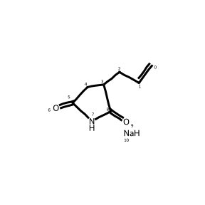 C=CCC1CC(=O)NC1=O.[NaH]